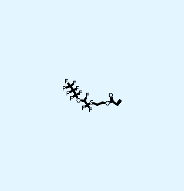 C=CC(=O)OCCSC(F)(F)C(F)OC(F)(F)C(F)(F)C(F)(F)F